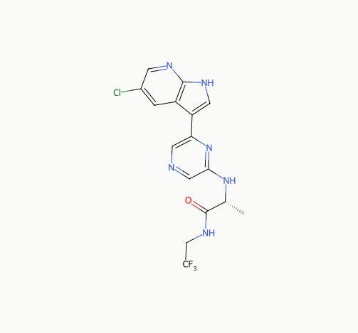 C[C@@H](Nc1cncc(-c2c[nH]c3ncc(Cl)cc23)n1)C(=O)NCC(F)(F)F